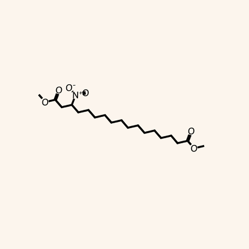 COC(=O)CCCCCCCCCCCCCC(CC(=O)OC)[N+](=O)[O-]